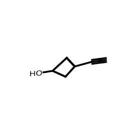 C#CC1CC(O)C1